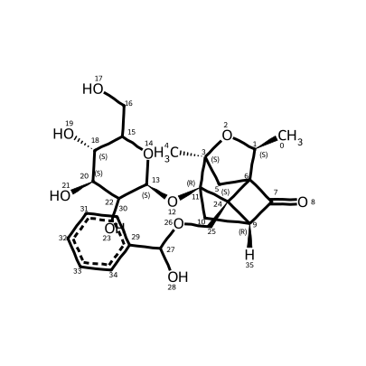 C[C@@H]1O[C@@]2(C)CC13C(=O)[C@@H]1C[C@@]2(O[C@@H]2OC(CO)[C@@H](O)[C@H](O)C2O)[C@@]13COC(O)c1ccccc1